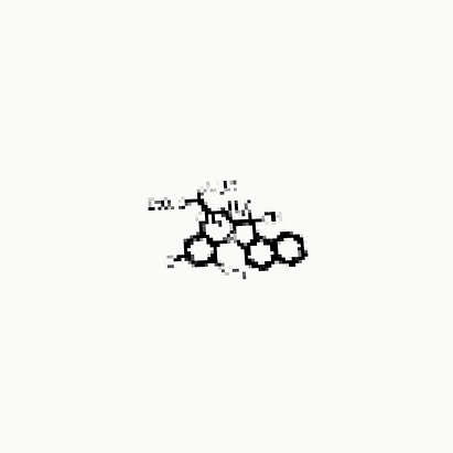 CCOC(=O)C(=C/C=C1\N(c2c(C)cc(C)cc2C)c2ccc3ccccc3c2C1(C)C)C(=O)OCC